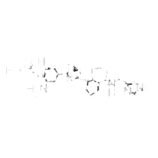 CC(C)Oc1ccc(-c2nnc(-c3cccc4c3CCC[C@H]4NCc3c[nH]cn3)s2)cc1N